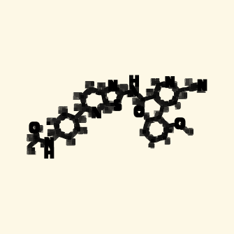 COc1ccccc1-c1cc(C#N)ncc1C(=O)Nc1nc2ccc(-c3ccc(NC(C)=O)cc3)nc2s1